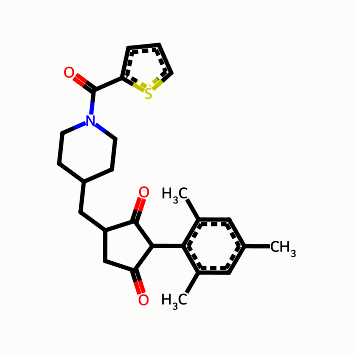 Cc1cc(C)c(C2C(=O)CC(CC3CCN(C(=O)c4cccs4)CC3)C2=O)c(C)c1